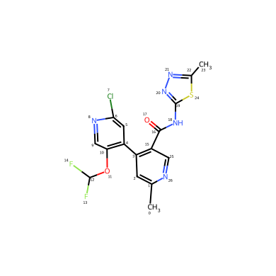 Cc1cc(-c2cc(Cl)ncc2OC(F)F)c(C(=O)Nc2nnc(C)s2)cn1